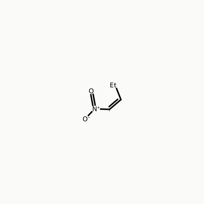 CC/C=[C]\[N+](=O)[O-]